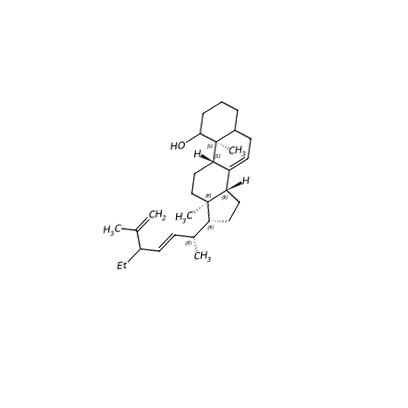 C=C(C)C(C=C[C@@H](C)[C@H]1CC[C@H]2C3=CCC4CCCC(O)[C@]4(C)[C@H]3CC[C@]12C)CC